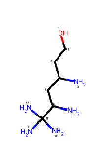 NC(CCO)CC(N)C(N)(N)N